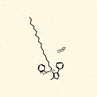 CCCCCCCCCCCCCCCCC[CH2][Ti+3]([SiH2]c1ccccc1)[C]1=C(C)CC=C1c1ccccc1.[Cl-].[Cl-].[Cl-]